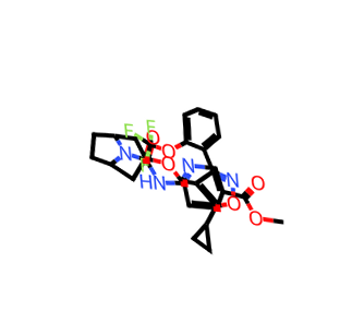 COC(=O)c1ccc(NC(=O)N2C3CCC2CC(OCc2c(-c4ccccc4OC(F)(F)F)noc2C2CC2)C3)nc1